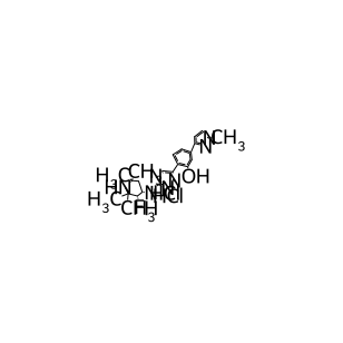 Cl.Cl.Cn1ccc(-c2ccc(-c3cnc(N[C@H]4CC(C)(C)NC(C)(C)[C@H]4F)nn3)c(O)c2)n1